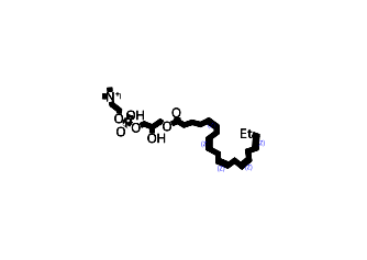 CC/C=C\C/C=C\C/C=C\C/C=C\C/C=C\CCCC(=O)OCC(O)COP(=O)(O)OCC[N+](C)(C)C